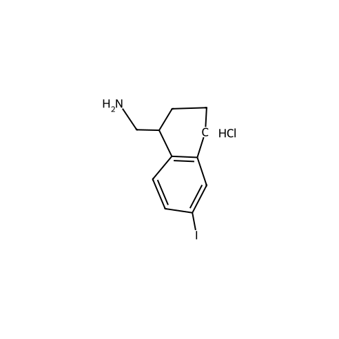 Cl.NCC1CCCc2cc(I)ccc21